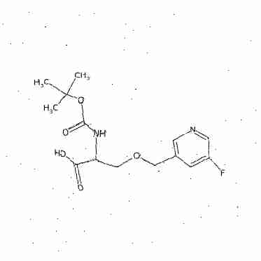 CC(C)(C)OC(=O)NC(COCc1cncc(F)c1)C(=O)O